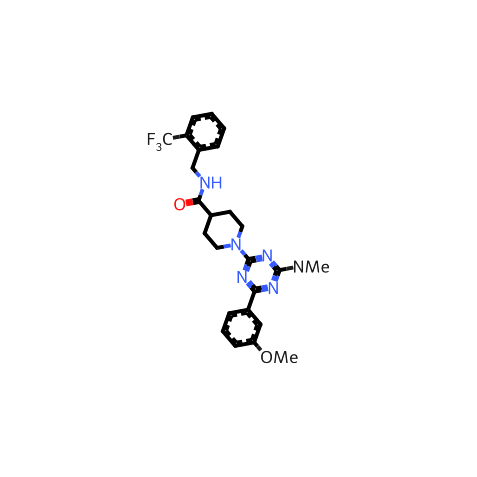 CNc1nc(-c2cccc(OC)c2)nc(N2CCC(C(=O)NCc3ccccc3C(F)(F)F)CC2)n1